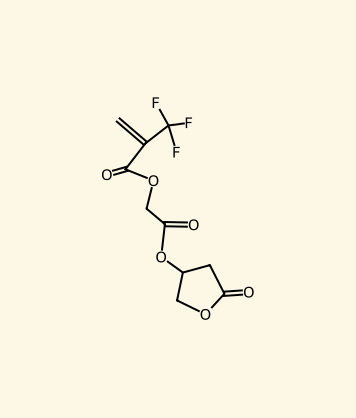 C=C(C(=O)OCC(=O)OC1COC(=O)C1)C(F)(F)F